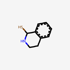 SC1NCCc2ccccc21